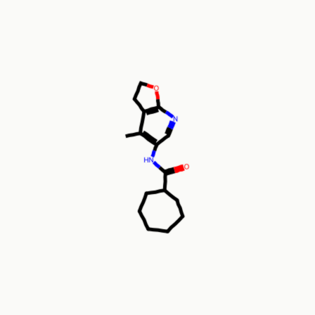 Cc1c(NC(=O)C2CCCCCC2)cnc2c1CCO2